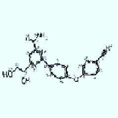 N#Cc1ccc(Oc2ccc(-c3nc(C(N)=O)cc([C@H](O)CO)n3)cc2)cc1